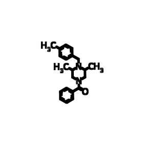 Cc1ccc(CN2C(C)CN(C(=O)c3ccccc3)CC2C)cc1